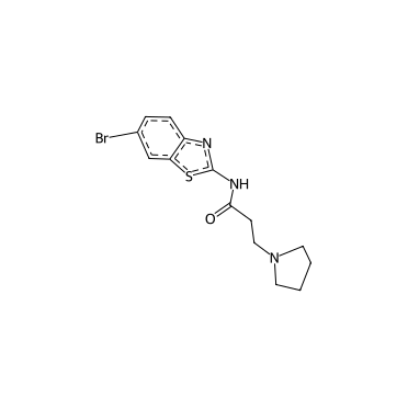 O=C(CCN1CCCC1)Nc1nc2ccc(Br)cc2s1